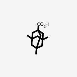 [CH2]C12CC3(C)CC(C)(C1)CC(C(=O)O)(C2)C3